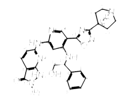 CC(C)n1[nH]c2nc(Nc3cc(N[C@H](CO)c4ccccc4)c(-c4nc(C56CCN(CC5)CC6)no4)cn3)ccc2c1=O